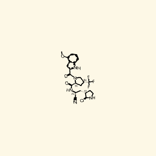 COc1cccc2[nH]c(C(=O)N3C[C@H](C(F)(F)F)C[C@H]3C(=O)N[C@H](C#N)C[C@@H]3CCNC3=O)cc12